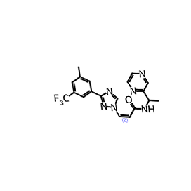 Cc1cc(-c2ncn(/C=C\C(=O)NC(C)c3cnccn3)n2)cc(C(F)(F)F)c1